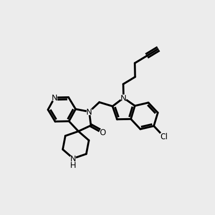 C#CCCCn1c(CN2C(=O)C3(CCNCC3)c3ccncc32)cc2cc(Cl)ccc21